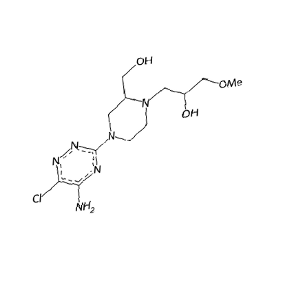 COCC(O)CN1CCN(c2nnc(Cl)c(N)n2)CC1CO